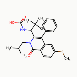 CSc1ccc2c(=O)n(CC(C)C)c(C(NC(=O)O)C(C)(C)C)c(-c3ccccc3)c2c1